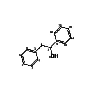 O[C](Cc1ccccc1)c1ccccc1